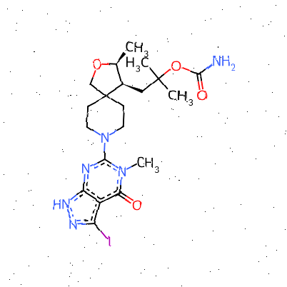 C[C@@H]1OCC2(CCN(c3nc4[nH]nc(I)c4c(=O)n3C)CC2)[C@@H]1CC(C)(C)OC(N)=O